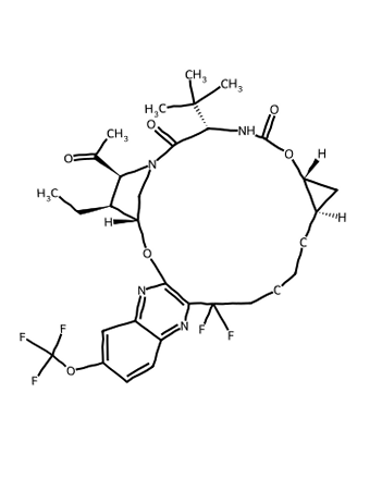 CC[C@@H]1[C@@H]2CN(C(=O)[C@H](C(C)(C)C)NC(=O)O[C@@H]3C[C@H]3CCCCC(F)(F)c3nc4ccc(OC(F)(F)F)cc4nc3O2)[C@@H]1C(C)=O